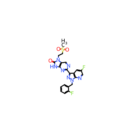 CS(=O)(=O)CCn1c(=O)[nH]c2nc(-c3nn(Cc4ccccc4F)c4ncc(F)cc34)ncc21